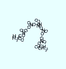 CC1(C)c2ccccc2-c2ccc(-n3c4ccccc4c4cc(-c5ccc6c(c5)c5ccccc5n6-c5ccc(-c6nc(-c7ccc(-n8c9ccccc9c9cc(-c%10ccc%11c(c%10)c%10ccccc%10n%11-c%10ccc%11c(c%10)C(C)(C)c%10ccccc%10-%11)ccc98)cc7)c7c(ccc8ccccc87)n6)cc5)ccc43)cc21